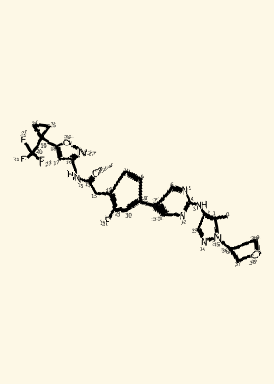 Cc1c(Nc2ncc(-c3ccc(CC(=O)Nc4cc(C5(C(F)(F)F)CC5)on4)c(F)c3)cn2)cnn1C1COC1